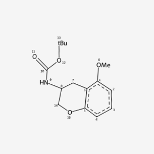 COc1cccc2c1CC(NC(=O)OC(C)(C)C)CO2